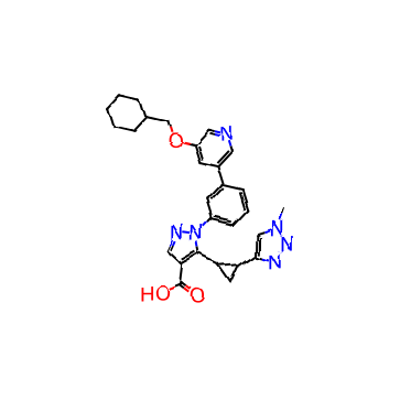 Cn1cc(C2CC2c2c(C(=O)O)cnn2-c2cccc(-c3cncc(OCC4CCCCC4)c3)c2)nn1